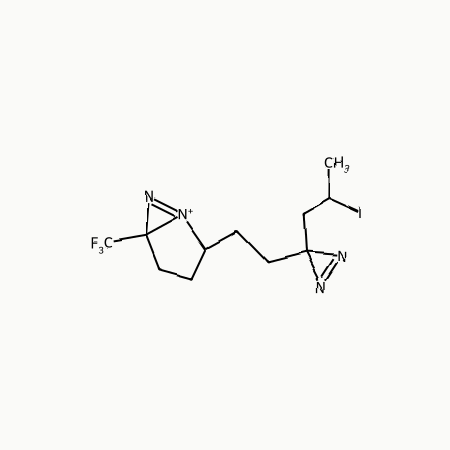 CC(I)CC1(CCC2CCC3(C(F)(F)F)N=[N+]23)N=N1